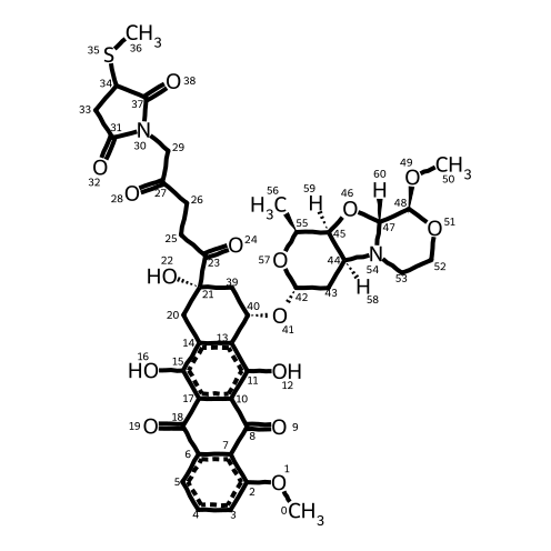 COc1cccc2c1C(=O)c1c(O)c3c(c(O)c1C2=O)C[C@@](O)(C(=O)CCC(=O)CN1C(=O)CC(SC)C1=O)C[C@@H]3O[C@H]1C[C@H]2[C@H](O[C@@H]3[C@@H](OC)OCCN32)[C@H](C)O1